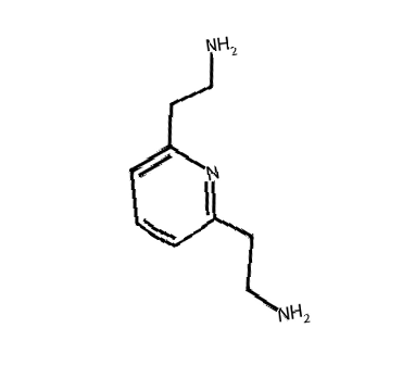 NCCc1cccc(CCN)n1